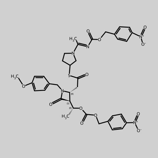 COc1ccc(CN2C(=O)[C@H]([C@@H](C)OC(=O)OCc3ccc([N+](=O)[O-])cc3)[C@H]2CC(=O)SC2CCN(C(C)=NC(=O)OCc3ccc([N+](=O)[O-])cc3)C2)cc1